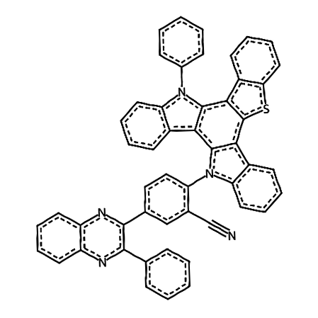 N#Cc1cc(-c2nc3ccccc3nc2-c2ccccc2)ccc1-n1c2ccccc2c2c3sc4ccccc4c3c3c(c4ccccc4n3-c3ccccc3)c21